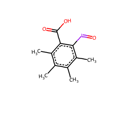 Cc1c(C)c(C)c(C(=O)O)c(I=O)c1C